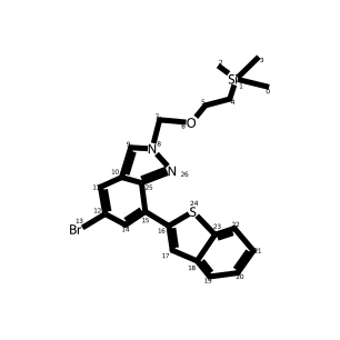 C[Si](C)(C)CCOCn1cc2cc(Br)cc(-c3cc4ccccc4s3)c2n1